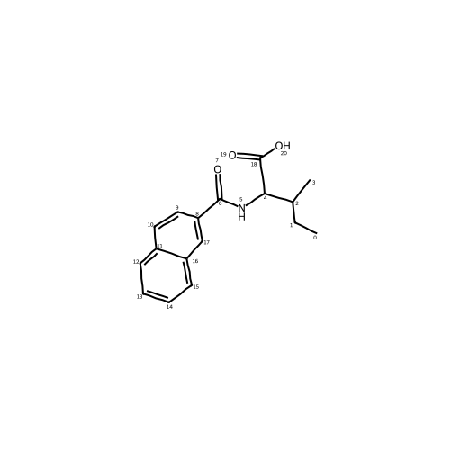 CCC(C)C(NC(=O)c1ccc2ccccc2c1)C(=O)O